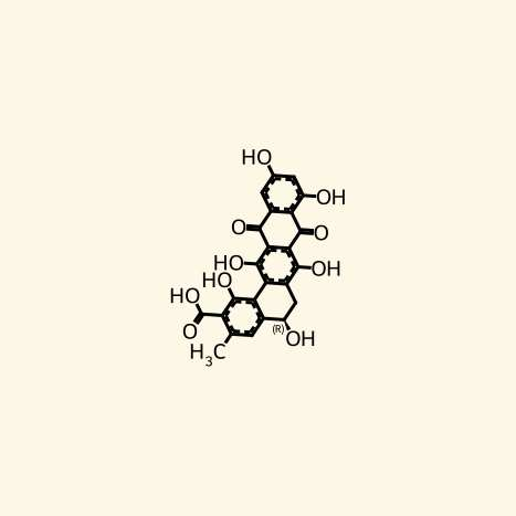 Cc1cc2c(c(O)c1C(=O)O)-c1c(O)c3c(c(O)c1C[C@H]2O)C(=O)c1c(O)cc(O)cc1C3=O